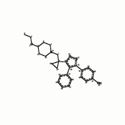 CCOC1CCN(CC2(c3onc(-c4ccc(O)cc4)c3-c3ccccc3)CC2)CC1